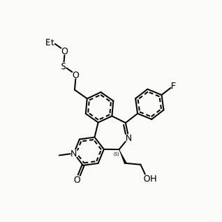 CCOSOCc1ccc2c(c1)-c1cn(C)c(=O)cc1[C@H](CCO)N=C2c1ccc(F)cc1